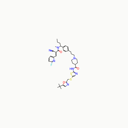 CCCC(c1ccc(CCCN2CCC(C(=O)Nc3ncc(SCc4ncc(C(C)(C)C)o4)s3)CC2)cc1)N(C)C(=O)/C(C#N)=C/c1cccc(F)n1